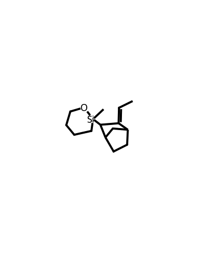 CC=C1C2CCC(C2)C1[Si]1(C)CCCCO1